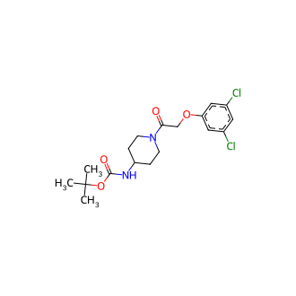 CC(C)(C)OC(=O)NC1CCN(C(=O)COc2cc(Cl)cc(Cl)c2)CC1